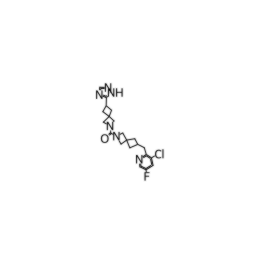 O=C(N1CC2(CC(Cc3ncc(F)cc3Cl)C2)C1)N1CC2(CC(c3ncn[nH]3)C2)C1